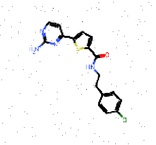 Nc1nccc(-c2ccc(C(=O)NCCc3ccc(Cl)cc3)s2)n1